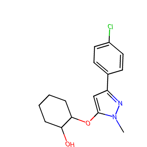 Cn1nc(-c2ccc(Cl)cc2)cc1OC1CCCCC1O